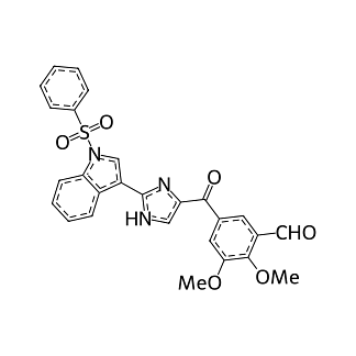 COc1cc(C(=O)c2c[nH]c(-c3cn(S(=O)(=O)c4ccccc4)c4ccccc34)n2)cc(C=O)c1OC